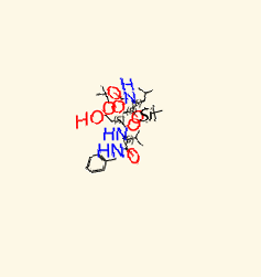 CC(C)C[C@H](NC(=O)OC(C)(C)C)[C@H](C[C@@H](CC(=O)O)C(=O)N[C@H](C(=O)NCc1ccccc1)C(C)C)O[Si](C)(C)C(C)(C)C